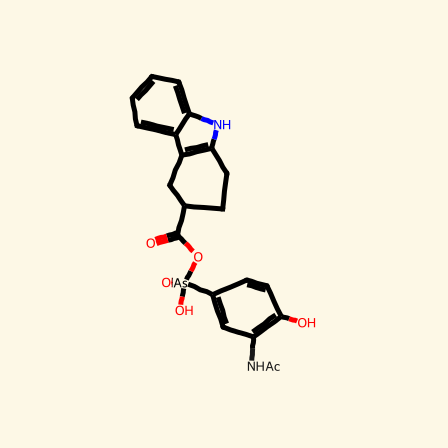 CC(=O)Nc1cc([As](=O)(O)OC(=O)C2CCc3[nH]c4ccccc4c3C2)ccc1O